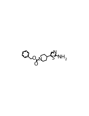 Nc1ncc(C2CCN(C(=O)OCc3ccccc3)CC2)s1